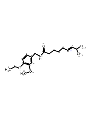 CCOc1ccc(CNC(=O)CCCC/C=C/C(C)C)cc1OC